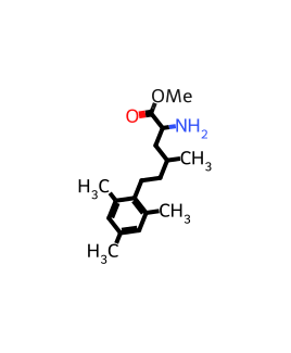 COC(=O)C(N)CC(C)CCc1c(C)cc(C)cc1C